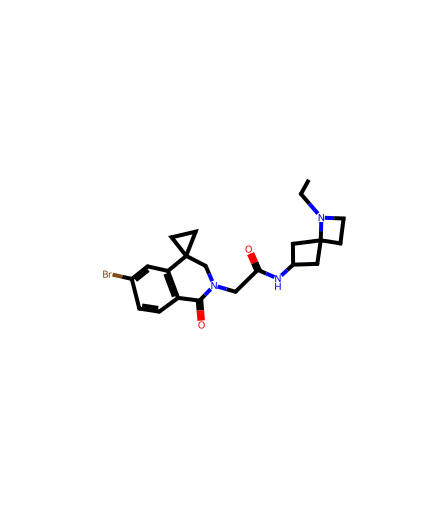 CCN1CCC12CC(NC(=O)CN1CC3(CC3)c3cc(Br)ccc3C1=O)C2